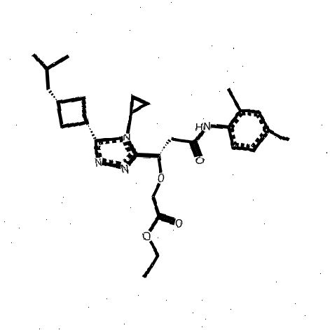 CCOC(=O)CO[C@@H](CC(=O)Nc1ccc(C)cc1C)c1nnc([C@H]2C[C@@H](CC(C)C)C2)n1C1CC1